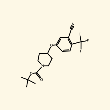 CC(C)(C)OC(=O)N1CCC(Oc2ccc(C(F)(F)F)c(C#N)c2)CC1